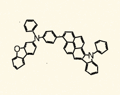 c1ccc(N(c2ccc(-c3ccc4ccc5c6c(ccc3c46)cc3c4ccccc4n(-c4ccccc4)c35)cc2)c2ccc3c(c2)oc2ccccc23)cc1